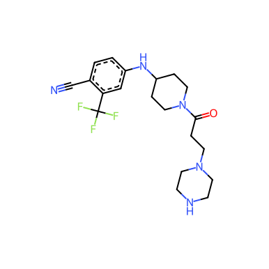 N#Cc1ccc(NC2CCN(C(=O)CCN3CCNCC3)CC2)cc1C(F)(F)F